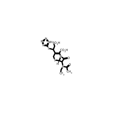 CC(=S)N(CC(F)(F)F)C1C(=O)N2C(C(=O)O)=C(C(CS(=O)(=O)O)Sc3nnn[nH]3)CS[C@@H]12